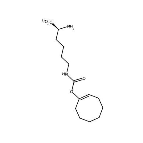 N[C@@H](CCCCNC(=O)OC1=CCCCCCC1)C(=O)O